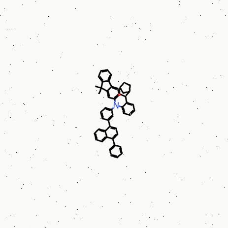 CC1(C)c2ccccc2-c2ccc(N(c3cccc(-c4ccc(-c5ccccc5)c5ccccc45)c3)c3ccccc3C3CC4CCC3C4)cc21